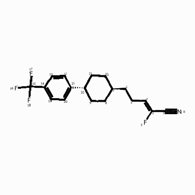 N#CC(F)=CCC[C@H]1CC[C@H](c2ccc(C(F)(F)F)cc2)CC1